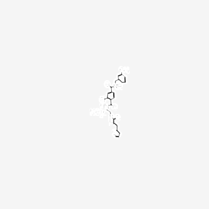 O=C(C=Cc1cccs1)NC[C@H](NC(=O)c1ccc(C(=O)NCc2cccc(O)c2)cc1Cl)C(=O)O